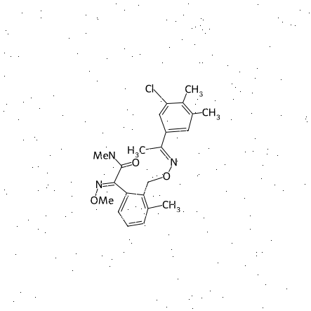 CNC(=O)/C(=N/OC)c1cccc(C)c1CO/N=C(\C)c1cc(C)c(C)c(Cl)c1